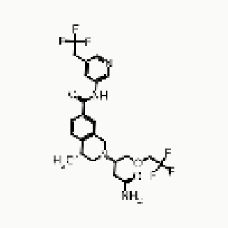 C[C@H]1CN(C(COCC(F)(F)F)CC(N)=O)Cc2cc(C(=O)Nc3cncc(CC(F)(F)F)c3)ccc21